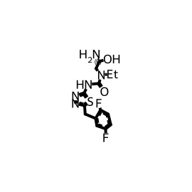 CCN(C[C@H](N)O)C(=O)Nc1nnc(Cc2cc(F)ccc2F)s1